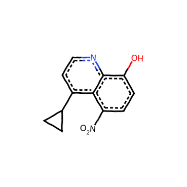 O=[N+]([O-])c1ccc(O)c2nccc(C3CC3)c12